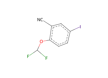 N#Cc1cc(I)ccc1OC(F)F